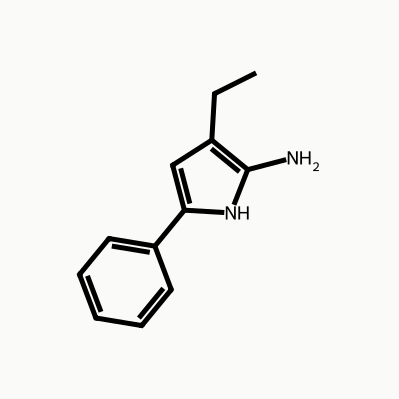 CCc1cc(-c2ccccc2)[nH]c1N